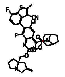 C=C1CN2CCC[C@]2(COc2nc(N3CC4CCC(C3)N4C(=O)OC(C)(C)C)c3cc(Cl)c(-c4ccc(F)c5sc(C)c(C#N)c45)c(F)c3n2)C1